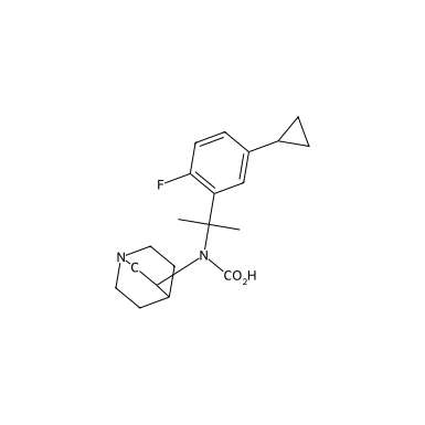 CC(C)(c1cc(C2CC2)ccc1F)N(C(=O)O)C1CN2CCC1CC2